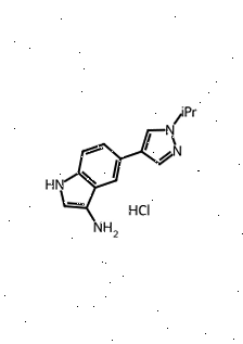 CC(C)n1cc(-c2ccc3[nH]cc(N)c3c2)cn1.Cl